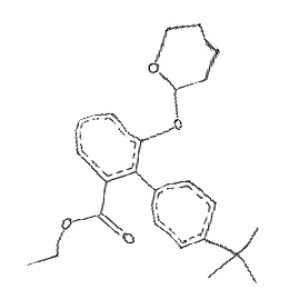 CCOC(=O)c1cccc(OC2CCCCO2)c1-c1ccc(C(C)(C)C)cc1